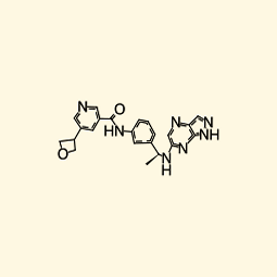 C[C@H](Nc1cnc2cn[nH]c2n1)c1cccc(NC(=O)c2cncc(C3COC3)c2)c1